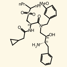 CCCC(CCC)S(=O)(=O)C[C@H](NC(=O)CC1CC1)C(=O)N(Cc1cccc(OC)c1)C[C@@H](O)[C@@H](N)Cc1ccccc1